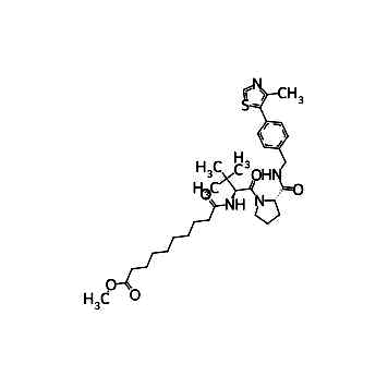 COC(=O)CCCCCCCCC(=O)N[C@H](C(=O)N1CCC[C@H]1C(=O)NCc1ccc(-c2scnc2C)cc1)C(C)(C)C